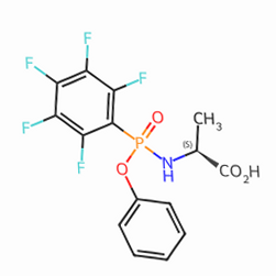 C[C@H](NP(=O)(Oc1ccccc1)c1c(F)c(F)c(F)c(F)c1F)C(=O)O